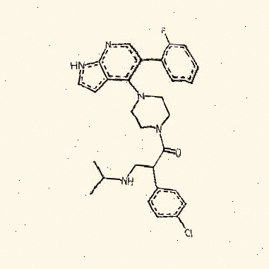 CC(C)NCC(C(=O)N1CCN(c2c(-c3ccccc3F)cnc3[nH]ccc23)CC1)c1ccc(Cl)cc1